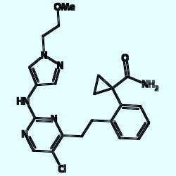 COCCn1cc(Nc2ncc(Cl)c(CCc3ccccc3C3(C(N)=O)CC3)n2)cn1